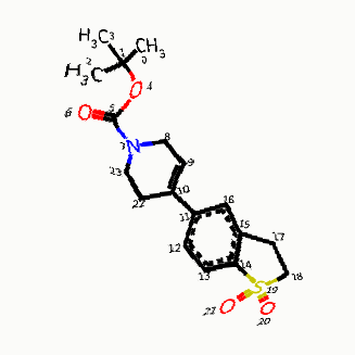 CC(C)(C)OC(=O)N1CC=C(c2ccc3c(c2)CCS3(=O)=O)CC1